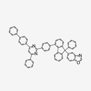 c1ccc(-c2ccc(-c3cc(-c4ccccc4)nc(-c4ccc(-c5cccc6c5-c5ccccc5C6(c5ccccc5)c5ccc6ocnc6c5)cc4)n3)cc2)cc1